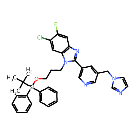 CC(C)(C)[Si](OCCCn1c(-c2cncc(Cn3ccnc3)c2)nc2cc(F)c(Cl)cc21)(c1ccccc1)c1ccccc1